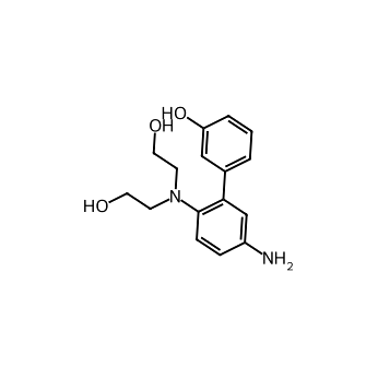 Nc1ccc(N(CCO)CCO)c(-c2cccc(O)c2)c1